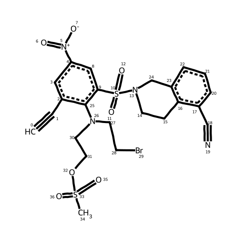 C#Cc1cc([N+](=O)[O-])cc(S(=O)(=O)N2CCc3c(C#N)cccc3C2)c1N(CCBr)CCOS(C)(=O)=O